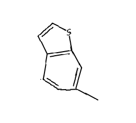 Cc1c[c]c2ccsc2c1